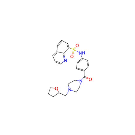 O=C(c1ccc(NS(=O)(=O)c2cccc3cccnc23)cc1)N1CCN(CC2CCCO2)CC1